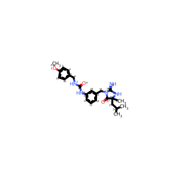 COc1ccc(CNC(=O)Nc2cccc(CN3C(=N)NC(C)(CC(C)C)C3=O)c2)cc1